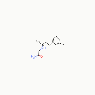 [2H][C@@H](CCc1cccc(C)c1)NCC(N)=O